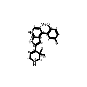 COc1ccc(F)cc1-c1ccnc2[nH]c(C3=CCNCC3(C)C)cc12